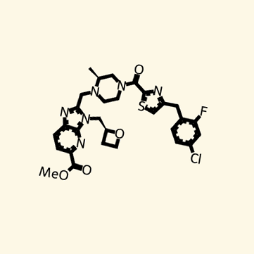 COC(=O)c1ccc2nc(CN3CCN(C(=O)c4nc(Cc5ccc(Cl)cc5F)cs4)C[C@@H]3C)n(C[C@@H]3CCO3)c2n1